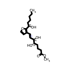 CCCCC[C@@H](O)c1occc1/C=C/[C@@H](O)[C@@H](O)CCCC(=O)OC